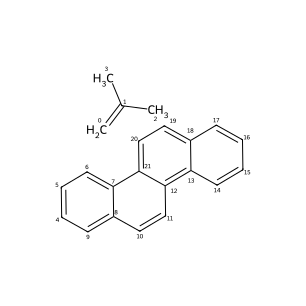 C=C(C)C.c1ccc2c(c1)ccc1c3ccccc3ccc21